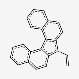 C=Cn1c2ccc3ccccc3c2c2c3ccccc3ccc21